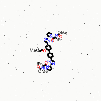 COCCOc1cc(-c2cnc([C@@H]3CCCN3C(=O)[C@@H](NC(=O)OC)C(C)C)[nH]2)ccc1-c1ccc(-c2cnc([C@@H]3CCCN3C(=O)[C@@H](NC(=O)OC)C(C)C)[nH]2)cc1